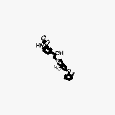 O=c1[nH]c2ccc([C@H](O)CN3CC4=CC(Oc5ccccc5F)=C[C@@]4(O)C3)cc2o1